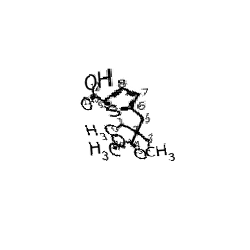 CCC(CC)(Cc1ccc(C(=O)O)s1)C(=O)OC